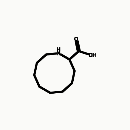 O=C(O)C1CCCCCCCCN1